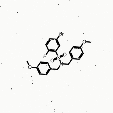 COc1ccc(CN(Cc2ccc(OC)cc2)S(=O)(=O)c2cc(Br)ccc2F)cc1